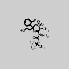 CN1C(N(N)C(=O)OC(C)(C)C)=NC(CCO)(c2ccccc2F)CS1(=O)=O